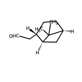 CC1(C)[C@H]2CC[C@@H](CC=O)[C@@H]1C2